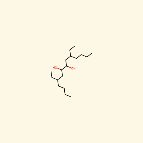 CCCCC(CC)CC(O)C(O)CC(CC)CCCC